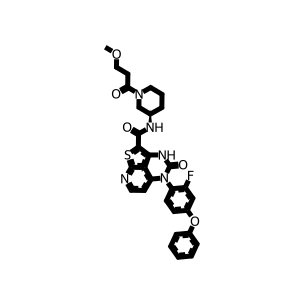 COCCC(=O)N1CCC[C@@H](NC(=O)c2sc3nccc4c3c2NC(=O)N4c2ccc(Oc3ccccc3)cc2F)C1